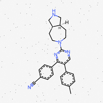 Cc1ccc(-c2cnc(N3CCC4CNC[C@H]4CC3)nc2-c2ccc(C#N)cc2)cc1